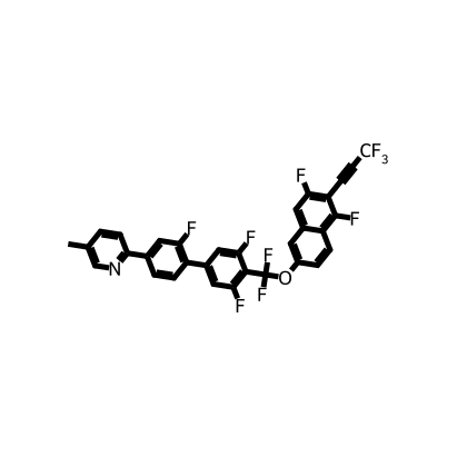 Cc1ccc(-c2ccc(-c3cc(F)c(C(F)(F)Oc4ccc5c(F)c(C#CC(F)(F)F)c(F)cc5c4)c(F)c3)c(F)c2)nc1